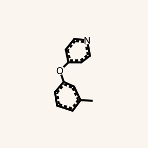 Cc1cccc(Oc2ccncc2)c1